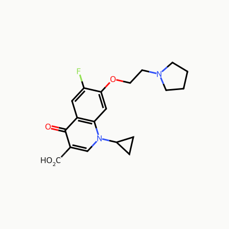 O=C(O)c1cn(C2CC2)c2cc(OCCN3CCCC3)c(F)cc2c1=O